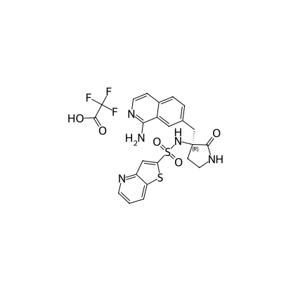 Nc1nccc2ccc(C[C@@]3(NS(=O)(=O)c4cc5ncccc5s4)CCNC3=O)cc12.O=C(O)C(F)(F)F